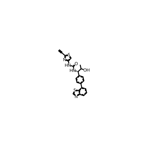 C#Cc1nc(NC(=O)N[C@H](c2ccc(-c3cccc4ncsc34)cc2)C(C)O)cs1